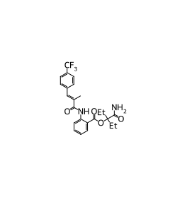 CCC(CC)(OC(=O)c1ccccc1NC(=O)/C(C)=C/c1ccc(C(F)(F)F)cc1)C(N)=O